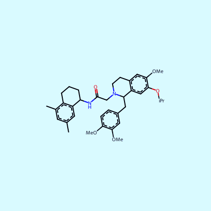 COc1ccc(CC2c3cc(OC(C)C)c(OC)cc3CCN2CC(=O)NC2CCCc3c(C)cc(C)cc32)cc1OC